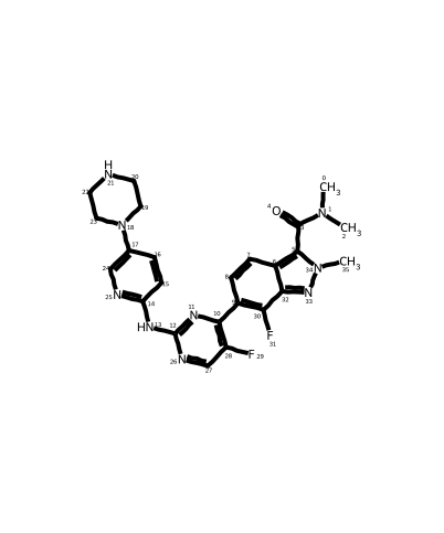 CN(C)C(=O)c1c2ccc(-c3nc(Nc4ccc(N5CCNCC5)cn4)ncc3F)c(F)c2nn1C